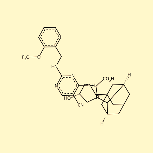 N#Cc1cnc(NCc2ccccc2OC(F)(F)F)nc1NC[C@]12CC3C[C@H](C1)C(N1C[C@H](O)CC1C(=O)O)[C@@H](C3)C2